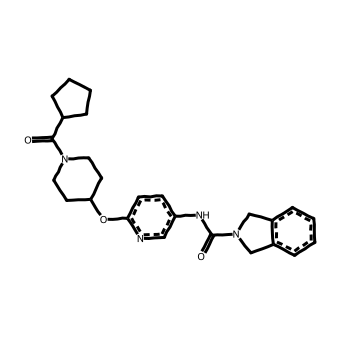 O=C(Nc1ccc(OC2CCN(C(=O)C3CCCC3)CC2)nc1)N1Cc2ccccc2C1